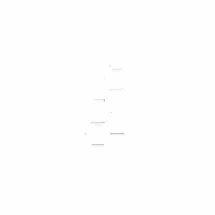 CC(=O)c1cccc(C)c1NC(=O)c1ccccn1